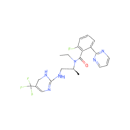 CCN(C(=O)c1c(F)cccc1-c1ncccn1)[C@@H](C)CNC1=NC=C(C(F)(F)F)CN1